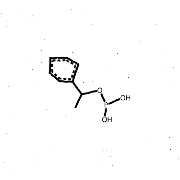 CC(OP(O)O)c1ccccc1